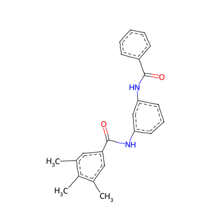 Cc1cc(C(=O)Nc2cccc(NC(=O)c3ccccc3)c2)cc(C)c1C